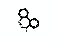 c1ccc2c(c1)N=NNc1ccccc1-2